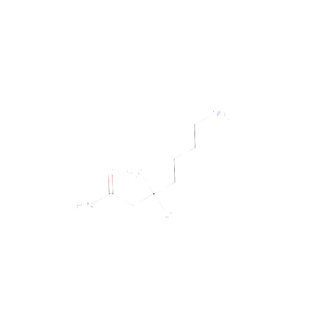 C[CH]C(C)(CCCCN)CC(N)=O